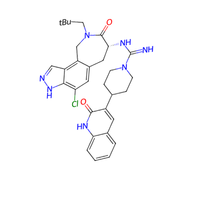 CC(C)(C)CN1Cc2c(cc(Cl)c3[nH]ncc23)C[C@@H](NC(=N)N2CCC(c3cc4ccccc4[nH]c3=O)CC2)C1=O